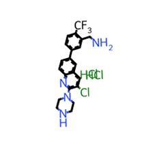 Cl.Cl.NCc1cc(-c2ccc3nc(N4CCNCC4)c(Cl)cc3c2)ccc1C(F)(F)F